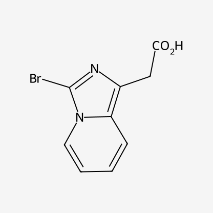 O=C(O)Cc1nc(Br)n2ccccc12